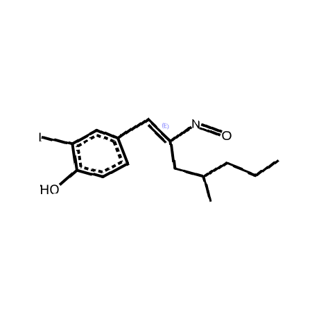 CCCC(C)C/C(=C\c1ccc(O)c(I)c1)N=O